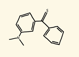 CN(C)c1cccc(C(=S)c2ccccc2)c1